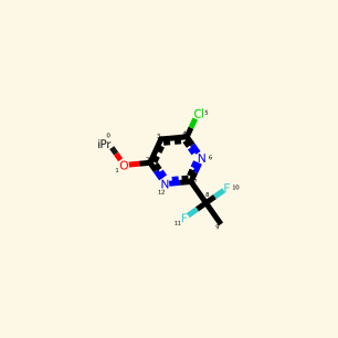 CC(C)Oc1cc(Cl)nc(C(C)(F)F)n1